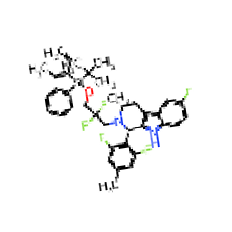 C=C/C(=C\C)[Si](OCC(F)(F)CN1[C@H](c2c(F)cc(C)cc2F)c2[nH]c3ccc(F)cc3c2C[C@H]1C)(c1ccccc1)C(C)(C)C